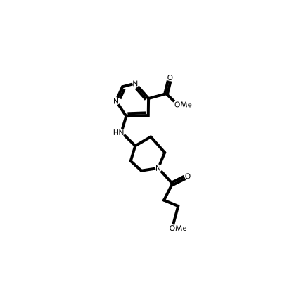 COCCC(=O)N1CCC(Nc2cc(C(=O)OC)ncn2)CC1